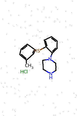 Cc1ccccc1.Cl.Sc1ccccc1N1CCNCC1